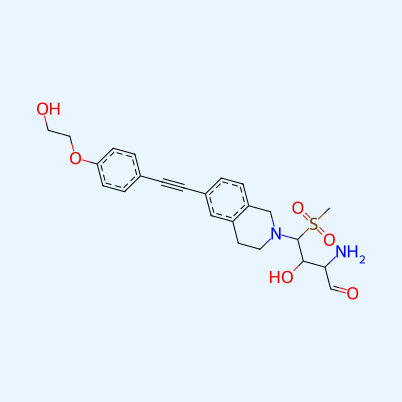 CS(=O)(=O)C(C(O)C(N)C=O)N1CCc2cc(C#Cc3ccc(OCCO)cc3)ccc2C1